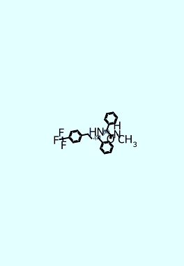 CNC(=O)[C@H](N[C@@H](CCc1ccc(C(F)(F)F)cc1)c1ccccc1)c1ccccc1